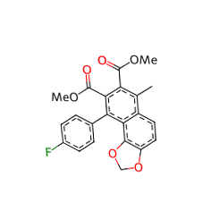 COC(=O)c1c(C(=O)OC)c(-c2ccc(F)cc2)c2c3c(ccc2c1C)OCO3